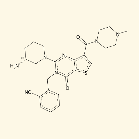 CN1CCN(C(=O)c2csc3c(=O)n(Cc4ccccc4C#N)c(N4CCC[C@@H](N)C4)nc23)CC1